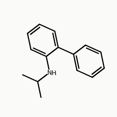 CC(C)Nc1ccccc1-c1ccccc1